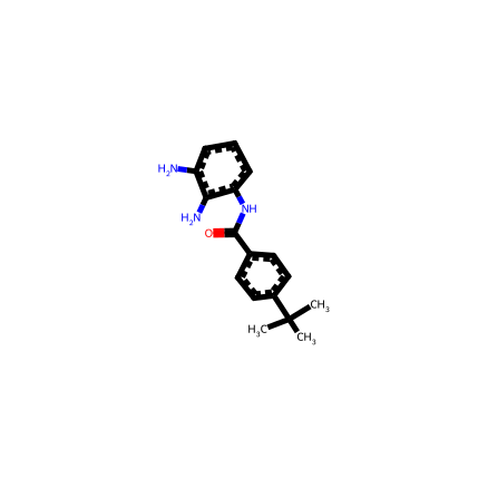 CC(C)(C)c1ccc(C(=O)Nc2cccc(N)c2N)cc1